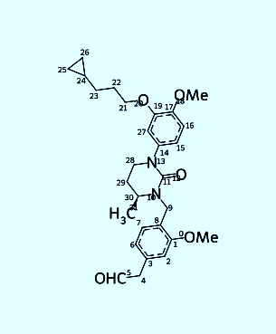 COc1cc(CC=O)ccc1CN1C(=O)N(c2ccc(OC)c(OCCCC3CC3)c2)CC[C@@H]1C